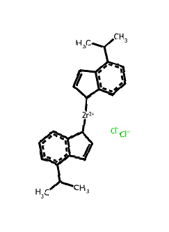 CC(C)c1cccc2c1C=C[CH]2[Zr+2][CH]1C=Cc2c(C(C)C)cccc21.[Cl-].[Cl-]